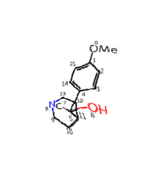 COc1ccc(C2(O)CN3CCC2CC3)cc1